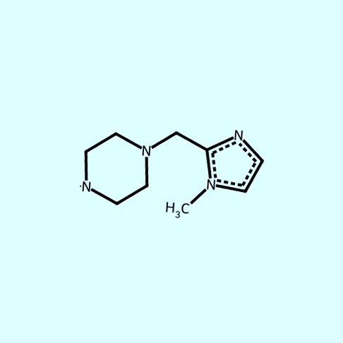 Cn1ccnc1CN1CC[N]CC1